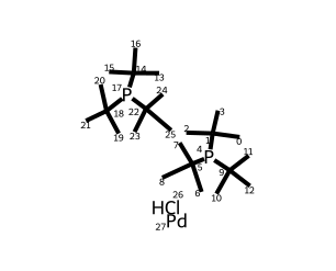 CC(C)(C)P(C(C)(C)C)C(C)(C)C.CC(C)(C)P(C(C)(C)C)C(C)(C)C.Cl.[Pd]